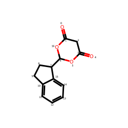 O=C1CC(=O)OC(C2CCc3ccccc32)O1